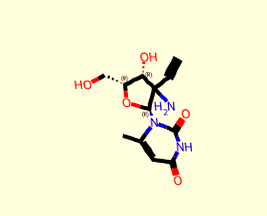 C#CC1(N)[C@@H](O)[C@@H](CO)O[C@H]1n1c(C)cc(=O)[nH]c1=O